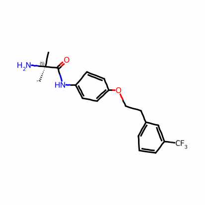 [CH2][C@@](C)(N)C(=O)Nc1ccc(OCCc2cccc(C(F)(F)F)c2)cc1